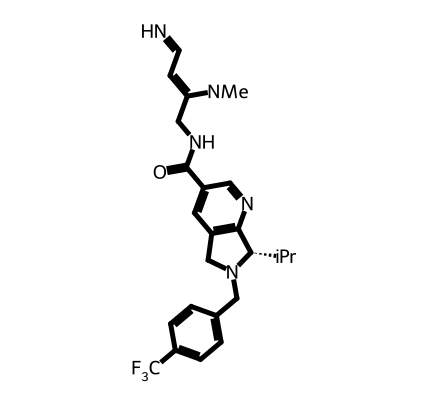 CN/C(=C\C=N)CNC(=O)c1cnc2c(c1)CN(Cc1ccc(C(F)(F)F)cc1)[C@H]2C(C)C